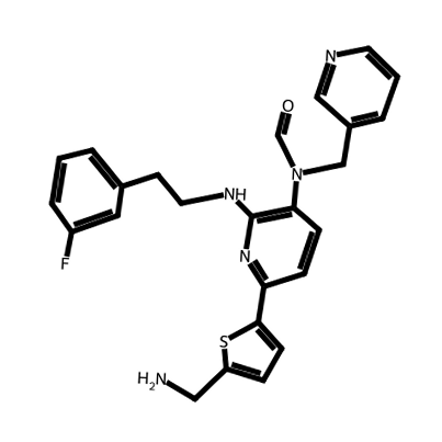 NCc1ccc(-c2ccc(N(C=O)Cc3cccnc3)c(NCCc3cccc(F)c3)n2)s1